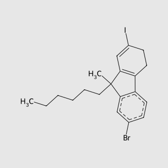 CCCCCCC1(C)C2=C(CCC(I)=C2)c2ccc(Br)cc21